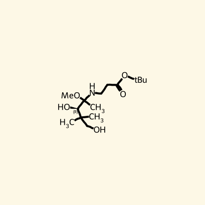 COC(C)(NCCC(=O)OC(C)(C)C)[C@H](O)C(C)(C)CO